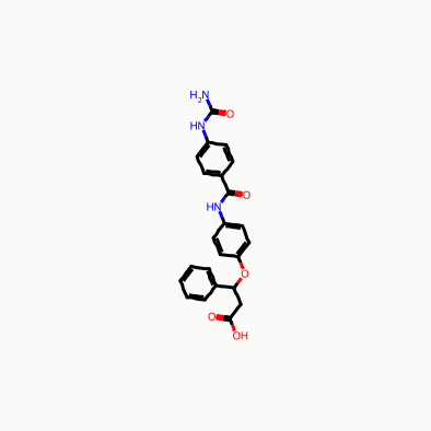 NC(=O)Nc1ccc(C(=O)Nc2ccc(OC(CC(=O)O)c3ccccc3)cc2)cc1